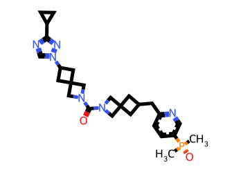 CP(C)(=O)c1ccc(CC2CC3(C2)CN(C(=O)N2CC4(CC(n5cnc(C6CC6)n5)C4)C2)C3)nc1